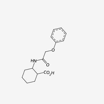 O=C(COc1ccccc1)NC1CCCCC1C(=O)O